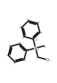 C[Si](CCl)(c1ccccc1)c1ccccc1